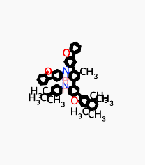 Cc1cc(-c2cc3c(cc2Nc2ccc(C(C)(C)C)cc2)oc2cc4c(cc23)C(C)(C)CCC4(C)C)c2c3c1c1cc4c(cc1n3-c1cc3oc5ccccc5c3cc1B2)oc1ccccc14